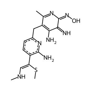 CN/C=C(\SC)c1ccc(CC2=C(N)C(=N)/C(=N\O)N=C2C)nc1N